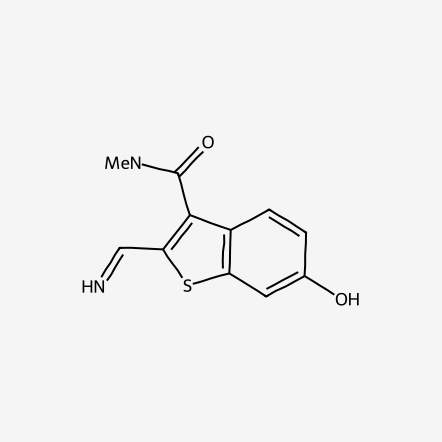 CNC(=O)c1c(C=N)sc2cc(O)ccc12